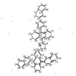 C1=CCC2CCC(c3ccc(-c4c5c(c(C6=CCC(c7ccc8c(-c9ccc%10ccccc%10c9)c9ccccc9c(-c9ccc%10ccccc%10c9)c8c7)S6)c6ccccc46)=CCCC=5)cc3)=CC2=C1